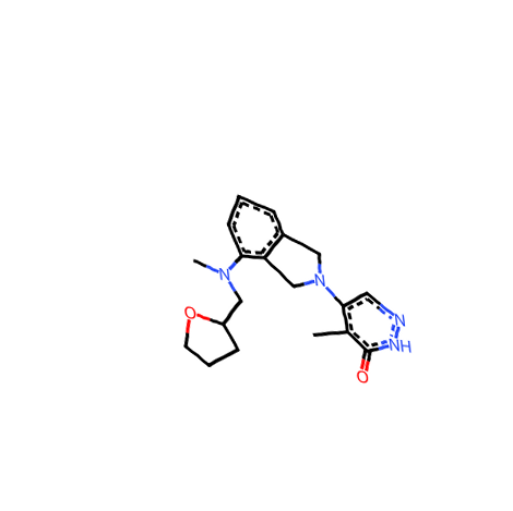 Cc1c(N2Cc3cccc(N(C)CC4CCCO4)c3C2)cn[nH]c1=O